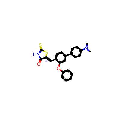 CN(C)c1ccc(-c2ccc(/C=C3\SC(=S)NC3=O)c(Oc3ccccc3)c2)cc1